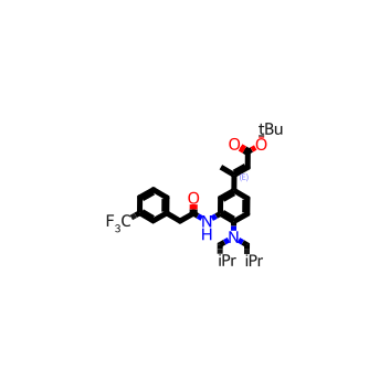 C/C(=C\C(=O)OC(C)(C)C)c1ccc(N(CC(C)C)CC(C)C)c(NC(=O)Cc2cccc(C(F)(F)F)c2)c1